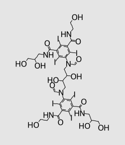 O=CN(CC(O)C(O)CN(C=O)c1c(I)c(C(=O)NCCO)c(I)c(C(=O)NCC(O)CO)c1I)c1c(I)c(C(=O)NCCO)c(I)c(C(=O)NCC(O)CO)c1I